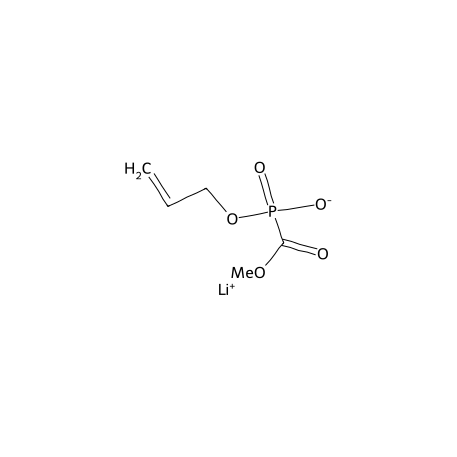 C=CCOP(=O)([O-])C(=O)OC.[Li+]